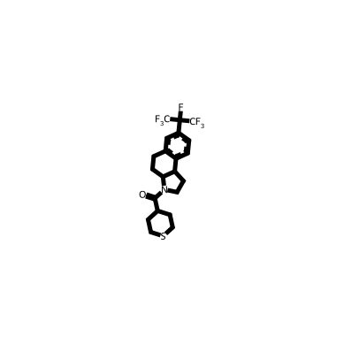 O=C(C1CCSCC1)N1CCC2c3ccc(C(F)(C(F)(F)F)C(F)(F)F)cc3CCC21